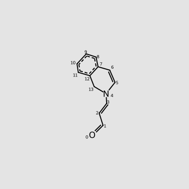 O=CC=CN1C=Cc2ccccc2C1